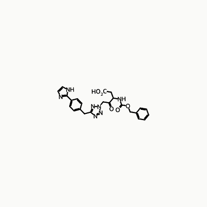 O=C(O)CC(NC(=O)OCc1ccccc1)C(=O)Cn1nnc(Cc2ccc(-c3ncc[nH]3)cc2)n1